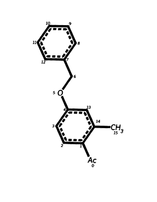 CC(=O)c1ccc(OCc2ccccc2)cc1C